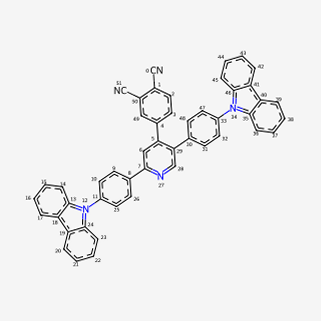 N#Cc1ccc(-c2cc(-c3ccc(-n4c5ccccc5c5ccccc54)cc3)ncc2-c2ccc(-n3c4ccccc4c4ccccc43)cc2)cc1C#N